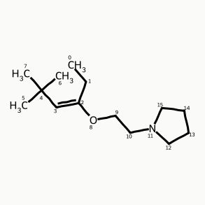 CC/C(=C\C(C)(C)C)OCCN1CCCC1